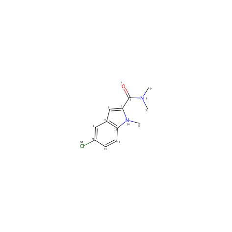 CN(C)C(=O)c1cc2cc(Cl)ccc2n1C